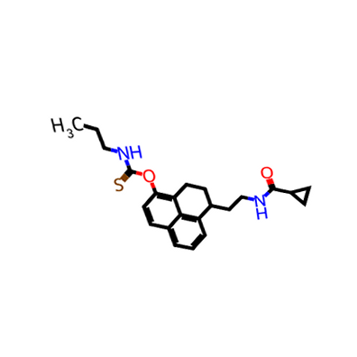 CCCNC(=S)Oc1ccc2cccc3c2c1CCC3CCNC(=O)C1CC1